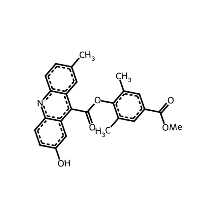 COC(=O)c1cc(C)c(OC(=O)c2c3cc(C)ccc3nc3ccc(O)cc23)c(C)c1